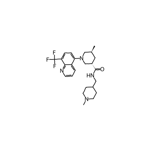 C[C@H]1C[C@H](C(=O)NCC2CCN(C)CC2)CN(c2ccc(C(F)(F)F)c3ncccc23)C1